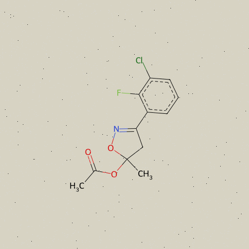 CC(=O)OC1(C)CC(c2cccc(Cl)c2F)=NO1